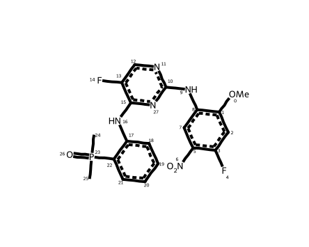 COc1cc(F)c([N+](=O)[O-])cc1Nc1ncc(F)c(Nc2ccccc2P(C)(C)=O)n1